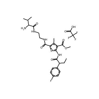 CCC(C(=O)Nc1sc(C(=O)NCCNC(=O)C(N)C(C)C)c(C)c1C(=O)OC)c1ccc(F)cc1.O=C(O)C(F)(F)F